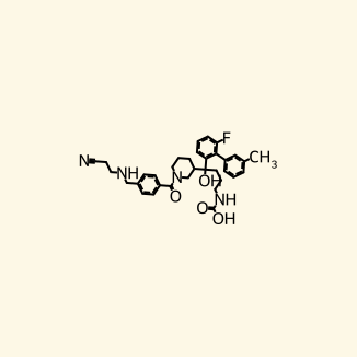 Cc1cccc(-c2c(F)cccc2C(O)(CCCNC(=O)O)C2CCCN(C(=O)c3ccc(CNCCC#N)cc3)C2)c1